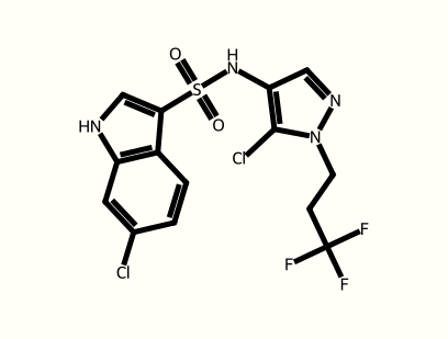 O=S(=O)(Nc1cnn(CCC(F)(F)F)c1Cl)c1c[nH]c2cc(Cl)ccc12